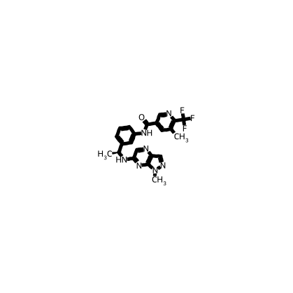 Cc1cc(C(=O)Nc2cccc([C@H](C)Nc3cnc4cnn(C)c4n3)c2)cnc1C(F)(F)F